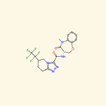 CN1C(=O)[C@@H](NC(=O)c2nnc3n2CC(C(F)(F)C(F)(F)F)CC3)COc2ccccc21